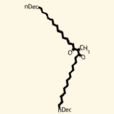 CCCCCCCCCCCCCCCCCCCCCCCC(=O)[C](C)C(=O)CCCCCCCCCCCCCCCCCCCCCCC